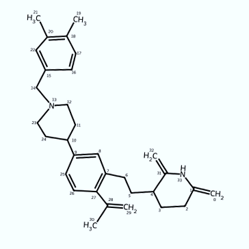 C=C1CCC(CCc2cc(C3CCN(Cc4ccc(C)c(C)c4)CC3)ccc2C(=C)C)C(=C)N1